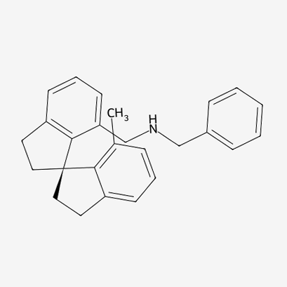 Cc1cccc2c1[C@]1(CC2)CCc2cccc(CNCc3ccccc3)c21